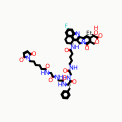 CC[C@@]1(O)C(=O)OCc2c1cc1n(c2=O)Cc2c-1nc1cc(F)cc3c1c2[C@@H](NC(=O)CCCCNC(=O)CNC(=O)[C@H](Cc1ccccc1)NC(=O)CNC(=O)CNC(=O)CCCCCN1C(=O)C=CC1=O)CC3